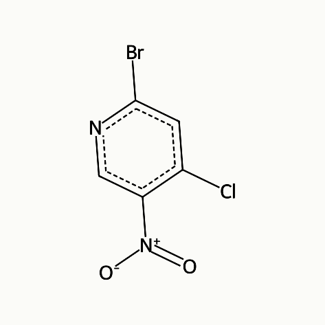 O=[N+]([O-])c1cnc(Br)cc1Cl